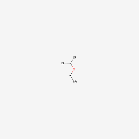 CCC[CH]OC(CC)CC